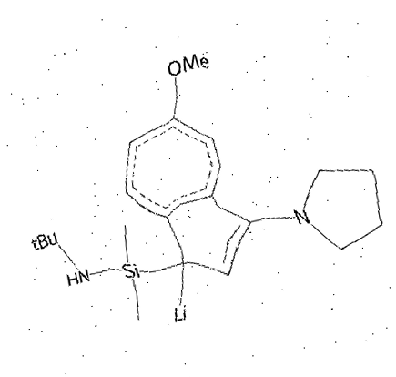 [Li][C]1([Si](C)(C)NC(C)(C)C)C=C(N2CCCC2)c2cc(OC)ccc21